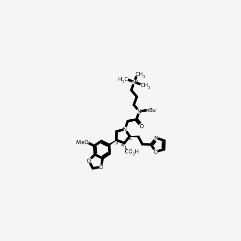 CCCCN(CCC[N+](C)(C)C)C(=O)CN1C[C@H](c2cc(OC)c3c(c2)OCO3)[C@@H](C(=O)O)[C@@H]1CCc1ncco1